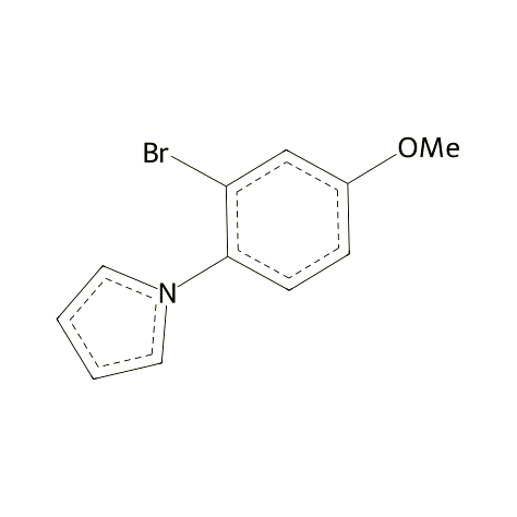 COc1ccc(-n2cccc2)c(Br)c1